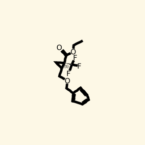 CCOC(=O)[C@]1(C(F)(F)F)CC1COCc1ccccc1